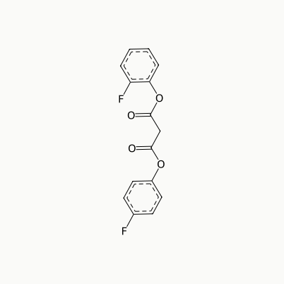 O=C(CC(=O)Oc1ccccc1F)Oc1ccc(F)cc1